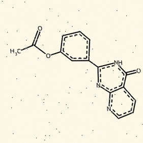 CC(=O)Oc1cccc(-c2nc3ncccc3c(=O)[nH]2)c1